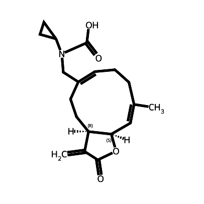 C=C1C(=O)O[C@@H]2C=C(C)CCC=C(CN(C(=O)O)C3CC3)CC[C@H]12